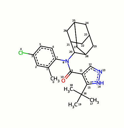 Cc1cc(Cl)ccc1N(C(=O)c1cn[nH]c1C(C)(C)C)C1C2CC3CC(C2)CC1C3